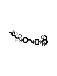 Cc1cc(CC(=O)NC2CCC(CCN3CCN(c4nccc5c4OCC5)CC3)CC2)on1